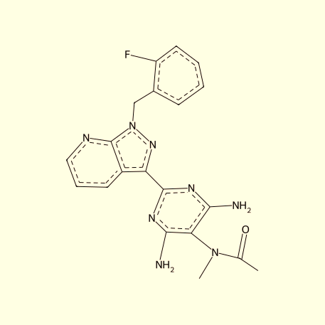 CC(=O)N(C)c1c(N)nc(-c2nn(Cc3ccccc3F)c3ncccc23)nc1N